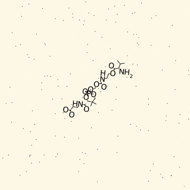 COC(=O)CCNC(=O)[C@@H]1OP(=O)(OCOC(=O)NCCOC(=O)[C@@H](N)C(C)C)OCC1(C)C